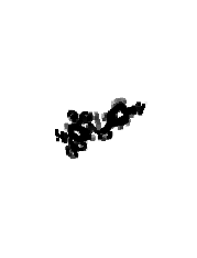 N#Cc1ccc(C(=O)Nc2cc3oc(=O)[nH]c3cc2[N+](=O)[O-])cc1